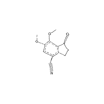 COc1cc(C#N)c2c(c1OC)C(=O)CC2